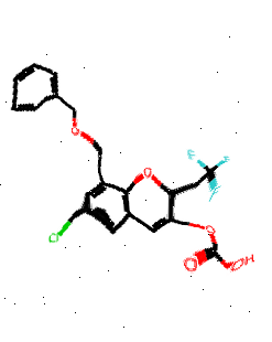 O=C(O)OC1=Cc2cc(Cl)cc(COCc3ccccc3)c2OC1C(F)(F)F